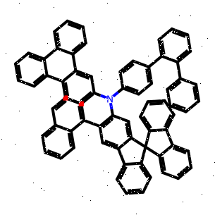 c1ccc(-c2ccccc2-c2ccc(N(c3ccc4c5ccccc5c5ccccc5c4c3)c3cc4c(cc3-c3cccc5ccccc35)-c3ccccc3C43c4ccccc4-c4ccccc43)cc2)cc1